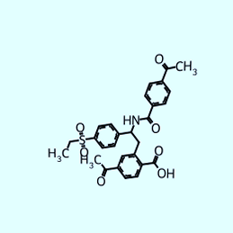 CCS(=O)(=O)c1ccc(C(Cc2cc(C(C)=O)ccc2C(=O)O)NC(=O)c2ccc(C(C)=O)cc2)cc1